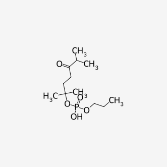 CCCOP(=O)(O)OC(C)(C)CCC(=O)C(C)C